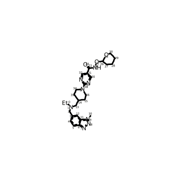 CCN(Cc1ccc2nnn(C)c2c1)CC1CCN(c2ncc(C(=O)NOC3CCCCO3)cn2)CC1